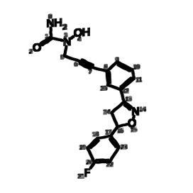 NC(=O)N(O)CC#Cc1cccc(C2=NOC(c3ccc(F)cc3)C2)c1